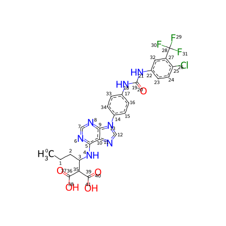 CCCC(Nc1ncnc2c1ncn2-c1ccc(NC(=O)Nc2ccc(Cl)c(C(F)(F)F)c2)cc1)C(C(=O)O)C(=O)O